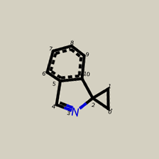 [CH]1CC12N=Cc1ccccc12